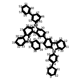 c1ccc(-c2ccc(-n3c4ccccc4c4cc(-c5ccc6c(c5)c5c(ccc7c8ccccc8n(-c8ccccc8)c75)n6-c5cccc(-c6ccccc6)c5)ccc43)cc2)cc1